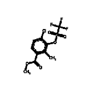 COC(=O)c1ccc(Cl)c(OS(=O)(=O)C(F)(F)F)c1C